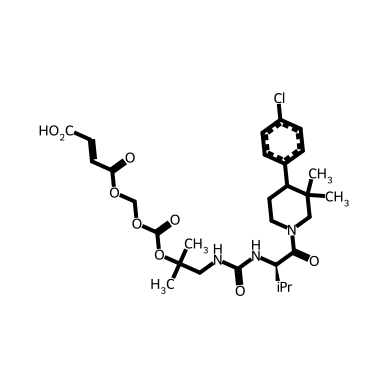 CC(C)[C@@H](NC(=O)NCC(C)(C)OC(=O)OCOC(=O)/C=C/C(=O)O)C(=O)N1CCC(c2ccc(Cl)cc2)C(C)(C)C1